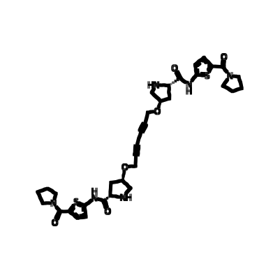 O=C(Nc1ccc(C(=O)N2CCCC2)s1)[C@@H]1C[C@@H](OCC#CC#CCO[C@H]2CN[C@H](C(=O)Nc3ccc(C(=O)N4CCCC4)s3)C2)CN1